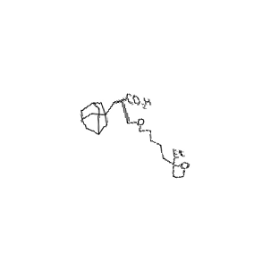 CCC1(CCCCCOC=C(CC23CC4CC(CC(C4)C2)C3)C(=O)O)CCO1